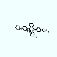 C=CC=C(c1ccc(N2CCCCC2)cc1)c1ccccc1N(C)c1ccc(C)cc1